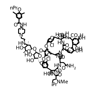 CCCOc1c(C)cc(C(=O)NN2CCN(CCN[C@@]3(C)C[C@H](O[C@H]4[C@H](Oc5c6cc7cc5Oc5ccc(cc5Cl)[C@@H](O)[C@@H](NC(=O)[C@@H](CC(C)C)NC)C(=O)NC(CC(N)=O)C(=O)NC7C(=O)N[C@H]5C(=O)N[C@H](C(=O)N[C@@H](C(=O)O)c7cc(O)cc(O)c7-c7cc5ccc7O)[C@H](O)c5ccc(c(Cl)c5)O6)O[C@H](CO)[C@@H](O)[C@@H]4O)O[C@@H](C)[C@H]3O)CC2)cc1C